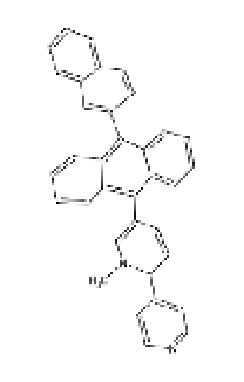 CN1C=C(c2c3ccccc3c(-c3ccc4ccccc4c3)c3ccccc23)C=CC1c1ccncc1